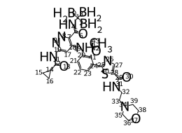 BC(B)(B)NC(=O)c1nnc(NC(=O)C2CC2)cc1Nc1cccc(-c2ncc(C(=O)NCCN3CCOCC3)s2)c1OC